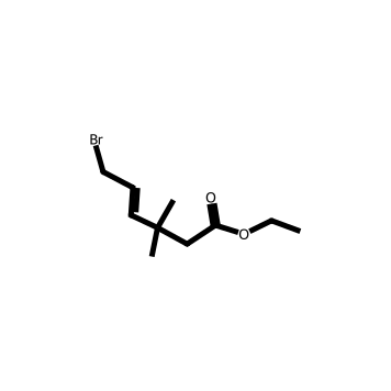 CCOC(=O)CC(C)(C)/C=C/CBr